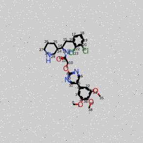 COc1cc(-c2cnc(OCC(=O)NC(Cc3cccc(Cl)c3Cl)C3CCCNC3)nc2)cc(OC)c1OC